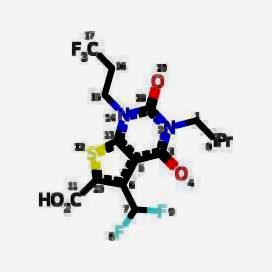 CC(C)Cn1c(=O)c2c(C(F)F)c(C(=O)O)sc2n(CCC(F)(F)F)c1=O